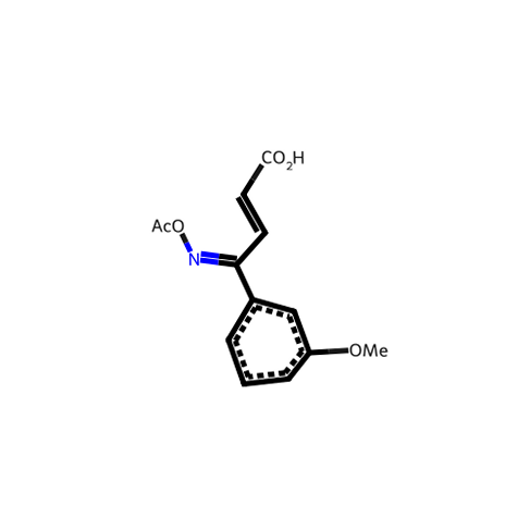 COc1cccc(C(/C=C/C(=O)O)=N/OC(C)=O)c1